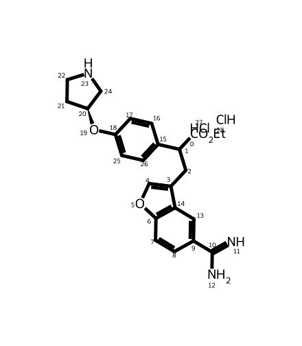 CCOC(=O)C(Cc1coc2ccc(C(=N)N)cc12)c1ccc(O[C@H]2CCNC2)cc1.Cl.Cl